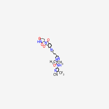 CC(C)(C(=O)Nc1cnc(C#N)c(C(F)(F)F)c1)n1cc(/C=C/C2CN(c3ccc4c(c3)C(=O)N(C3CCC(=O)NC3=O)C4=O)C2)cn1